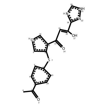 CC(=O)c1ccc(Sc2cocc2C(=O)C=C(O)c2nc[nH]n2)cc1